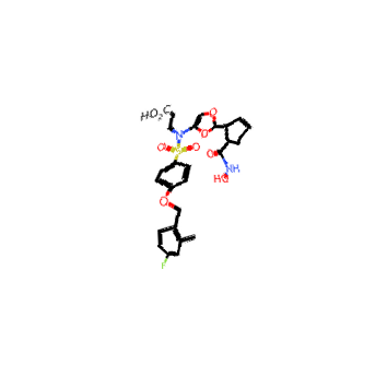 Cc1cc(F)ccc1COc1ccc(S(=O)(=O)N(CCC(=O)O)C2=COC(C3CCCC3C(=O)NO)O2)cc1